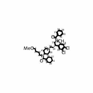 COCCCCN(C(=O)C1CCCCC1)C1CCN(CC[C@H](CN(C)C(=O)c2ccccc2)c2ccc(Cl)c(Cl)c2)CC1